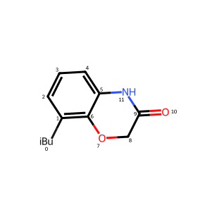 CCC(C)c1cccc2c1OCC(=O)N2